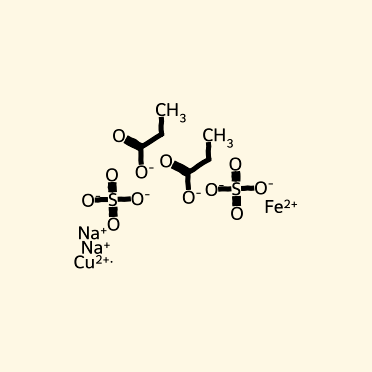 CCC(=O)[O-].CCC(=O)[O-].O=S(=O)([O-])[O-].O=S(=O)([O-])[O-].[Cu+2].[Fe+2].[Na+].[Na+]